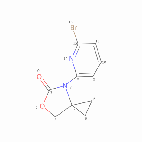 O=C1OCC2(CC2)N1c1cccc(Br)n1